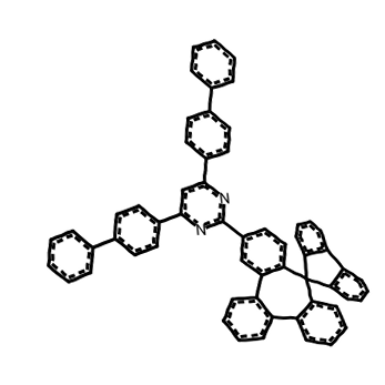 c1ccc(-c2ccc(-c3cc(-c4ccc(-c5ccccc5)cc4)nc(-c4ccc5c(c4)-c4ccccc4-c4ccccc4C54c5ccccc5-c5ccccc54)n3)cc2)cc1